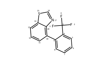 FC(F)(F)c1cc[c]cc1-c1cccc2scnc12